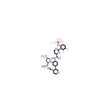 BC(B)(B)Oc1ccc(F)c(F)c1-c1nccc(C(=O)Nc2ccc(-c3cnccc3C#N)cc2N2CC(N)CC2CO)n1